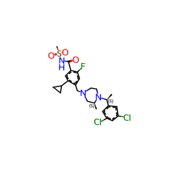 C[C@H]1CN(Cc2cc(F)c(C(=O)NS(C)(=O)=O)cc2C2CC2)CCN1[C@@H](C)c1cc(Cl)cc(Cl)c1